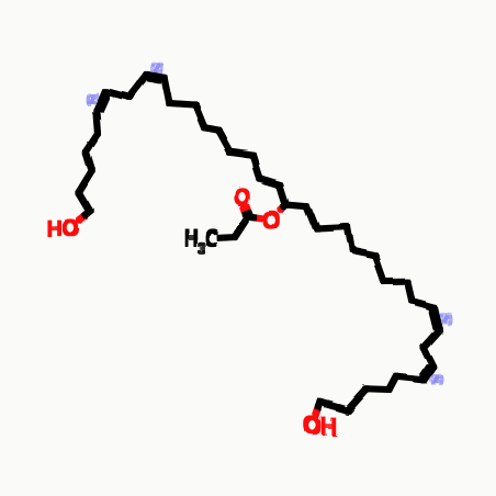 CCC(=O)OC(CCCCCCCC/C=C\C/C=C\CCCCCO)CCCCCCCC/C=C\C/C=C\CCCCCO